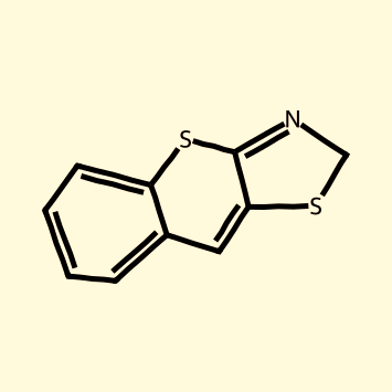 C1=C2SCN=C2Sc2ccccc21